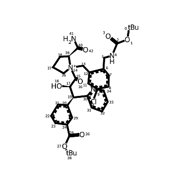 CC(C)(C)OC(=O)NCc1ccc(Cl)cc1C[N+]1(C(=O)[C@H](O)[C@H](c2cccc(C(=O)OC(C)(C)C)c2)c2ccccn2)CCC[C@H]1C(N)=O